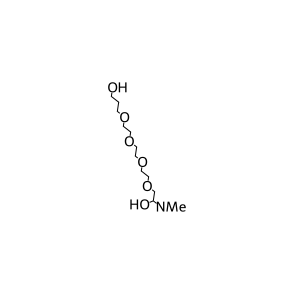 CNC(O)COCCOCCOCCOCCCO